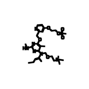 CCC=C(C)N(COCC[Si](C)(C)C)c1nc(NC)nc(OCc2cc(OCCOS(C)(=O)=O)ccn2)c1C